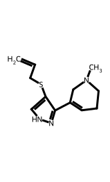 C=CCSc1c[nH]nc1C1=CCCN(C)C1